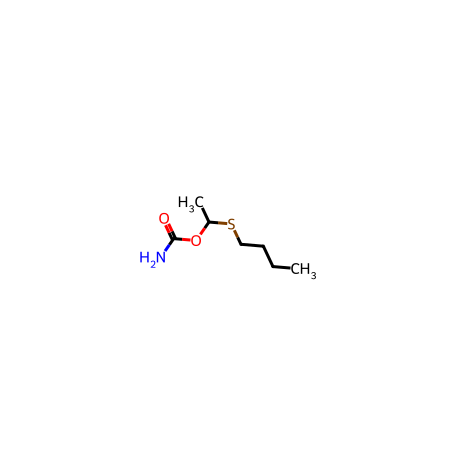 CCCCSC(C)OC(N)=O